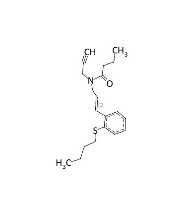 C#CCN(C/C=C/c1ccccc1SCCCC)C(=O)CCC